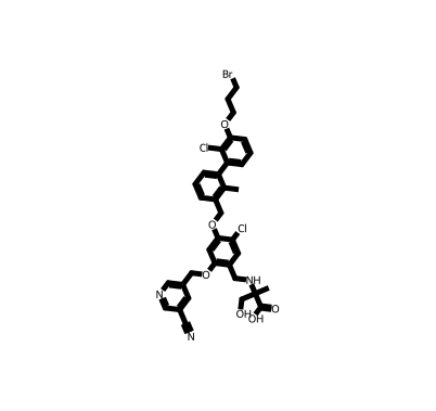 Cc1c(COc2cc(OCc3cncc(C#N)c3)c(CNC(C)(CO)C(=O)O)cc2Cl)cccc1-c1cccc(OCCCBr)c1Cl